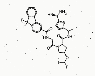 CC(NC(=O)[C@@H]1C[C@@H](OC(F)F)CN1C(=O)CNC(=O)c1ccc2c(c1)-c1ccccc1C2(F)F)c1ccc(C(=N)N)s1